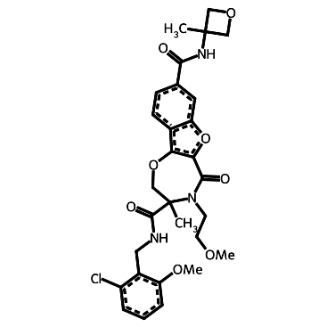 COCCN1C(=O)c2oc3cc(C(=O)NC4(C)COC4)ccc3c2OCC1(C)C(=O)NCc1c(Cl)cccc1OC